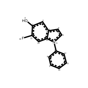 Oc1cc2ccn(-c3ccccc3)c2cc1F